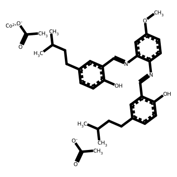 CC(=O)[O-].CC(=O)[O-].COc1ccc(N=Cc2cc(CCC(C)C)ccc2O)c(N=Cc2cc(CCC(C)C)ccc2O)c1.[Co+2]